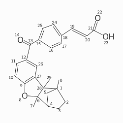 CC12CCC(C1)C1(C)Oc3ccc(C(=O)c4ccc(C=CC(=O)O)cc4)cc3C21C